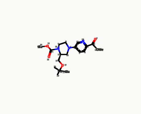 COC(=O)c1ccc(N2CCN(C(=O)OC(C)(C)C)[C@H](CO[Si](C)(C)C(C)(C)C)C2)cn1